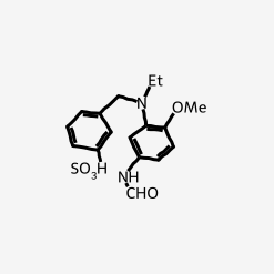 CCN(Cc1cccc(S(=O)(=O)O)c1)c1cc(NC=O)ccc1OC